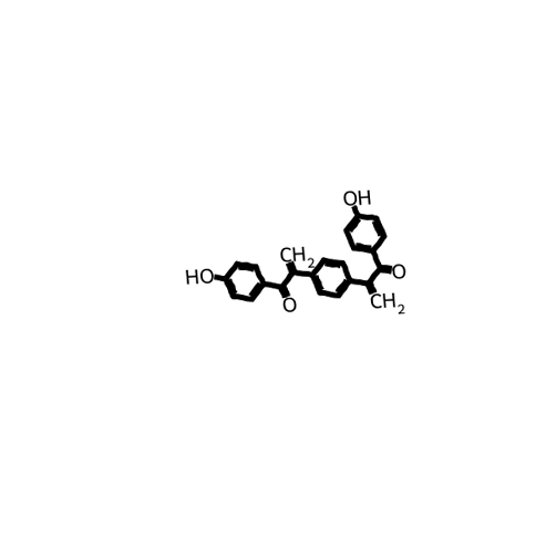 C=C(C(=O)c1ccc(O)cc1)c1ccc(C(=C)C(=O)c2ccc(O)cc2)cc1